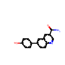 NC(=O)c1cnc2ccc(-c3ccc(O)cc3)cc2c1